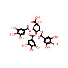 O=C(OC1[C@H](OC(=O)c2cc(O)c(O)c(O)c2)CC(O)(C(=O)O)C[C@H]1OC(=O)c1cc(O)c(O)c(O)c1)c1cc(O)c(O)c(O)c1